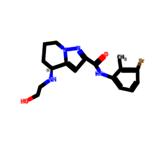 Cc1c(Br)cccc1NC(=O)c1cc2n(n1)CCC[C@@H]2NCCO